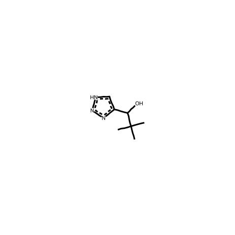 CC(C)(C)C(O)c1c[nH]nn1